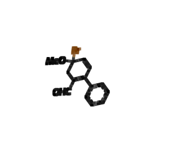 COC1(Br)C=CC(c2ccccc2)=C(C=O)C1